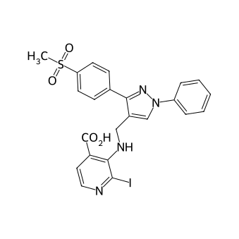 CS(=O)(=O)c1ccc(-c2nn(-c3ccccc3)cc2CNc2c(C(=O)O)ccnc2I)cc1